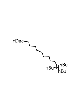 CCCCCCCCCCCCCCCCCCC[N+](CCCC)(CCCC)CCCC